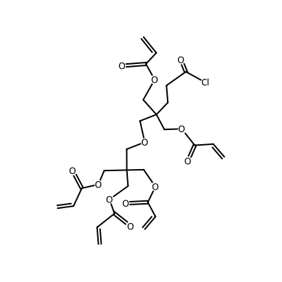 C=CC(=O)OCC(CCC(=O)Cl)(COCC(COC(=O)C=C)(COC(=O)C=C)COC(=O)C=C)COC(=O)C=C